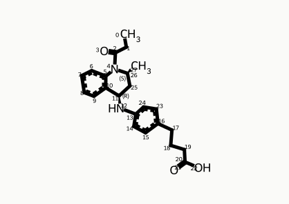 CCC(=O)N1c2ccccc2[C@H](Nc2ccc(CCCC(=O)O)cc2)C[C@@H]1C